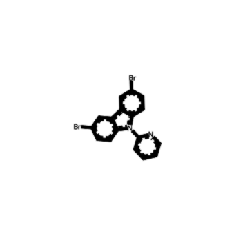 Brc1ccc2c(c1)c1cc(Br)ccc1n2-c1ccccn1